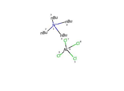 CCCC[N+](CCCC)(CCCC)CCCC.[Cl][Al-]([Cl])([Cl])[Cl]